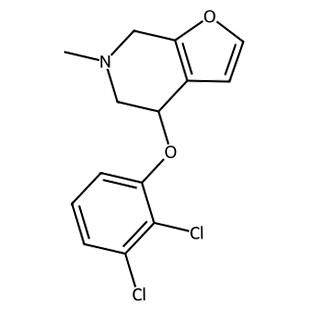 CN1Cc2occc2C(Oc2cccc(Cl)c2Cl)C1